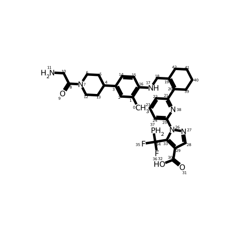 Cc1cc(C2CCN(C(=O)CN)CC2)ccc1NCC1=C(c2cccc(-n3ncc(C(=O)O)c3C(F)(F)P)n2)CCCC1